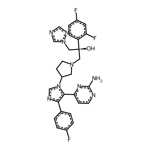 Nc1nccc(-c2c(-c3ccc(F)cc3)ncn2C2CCN(C[C@](O)(Cn3cncn3)c3ccc(F)cc3F)C2)n1